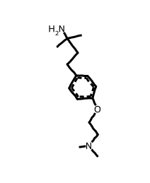 CN(C)CCOc1ccc(CCC(C)(C)N)cc1